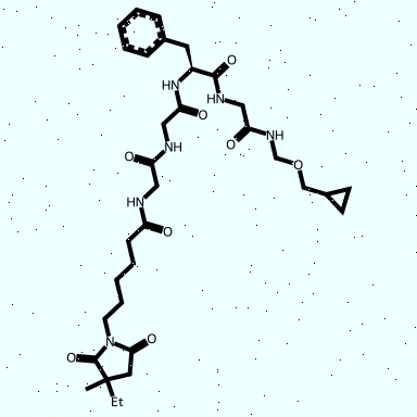 CCC1(C)CC(=O)N(CCCCCC(=O)NCC(=O)NCC(=O)N[C@@H](Cc2ccccc2)C(=O)NCC(=O)NCOCC2CC2)C1=O